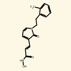 O=C(/C=C/c1cccn(CCc2ccccc2C(F)(F)F)c1=O)NO